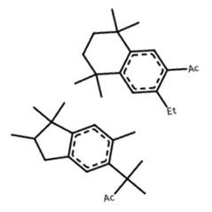 CC(=O)C(C)(C)c1cc2c(cc1C)C(C)(C)C(C)C2.CCc1cc2c(cc1C(C)=O)C(C)(C)CCC2(C)C